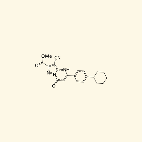 COC(=O)c1nn2c(=O)cc(-c3ccc(C4CCCCC4)cc3)[nH]c2c1C#N